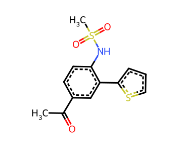 CC(=O)c1ccc(NS(C)(=O)=O)c(-c2cccs2)c1